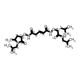 CC(C)CNC(=O)[C@@H](CC(C)C)ONC(=O)/C=C/CC(=O)NO[C@@H]1CC(C)N(CC(C)C)C1=O